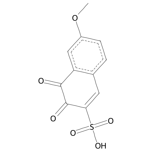 COc1ccc2c(c1)C(=O)C(=O)C(S(=O)(=O)O)=C2